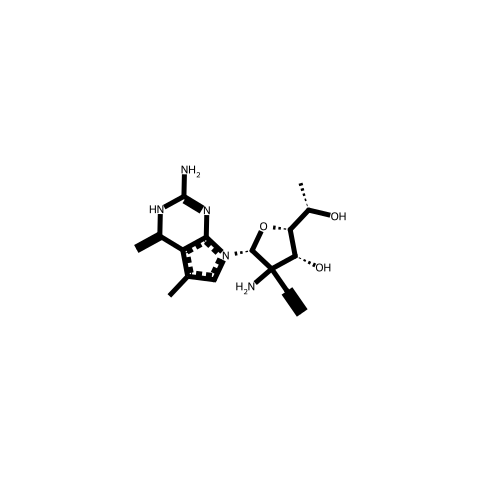 C#CC1(N)[C@@H](O)[C@@H]([C@H](C)O)O[C@H]1n1cc(C)c2c1N=C(N)NC2=C